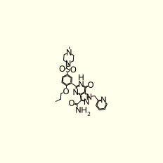 CCCOc1ccc(S(=O)(=O)N2CCN(C)CC2)cc1-c1nc2c(C(N)=O)nn(Cc3ccccn3)c2c(=O)[nH]1